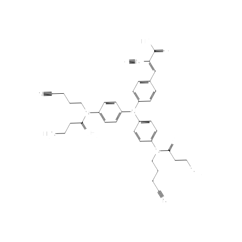 [C-]#[N+]/C(=C\c1ccc(N(c2ccc(N(CCCC#N)C(=C)CCN)cc2)c2ccc(N(CCCC#N)C(=C)CCN)cc2)cc1)C(=O)O